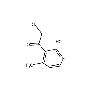 Cl.O=C(CCl)c1cnccc1C(F)(F)F